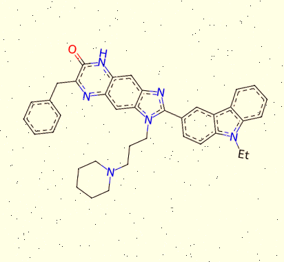 CCn1c2ccccc2c2cc(-c3nc4cc5[nH]c(=O)c(Cc6ccccc6)nc5cc4n3CCCN3CCCCC3)ccc21